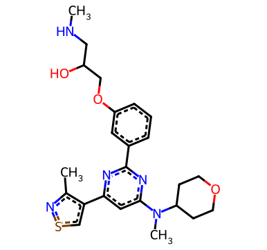 CNCC(O)COc1cccc(-c2nc(-c3csnc3C)cc(N(C)C3CCOCC3)n2)c1